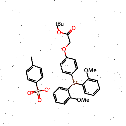 COc1ccccc1[S+](c1ccc(OCC(=O)OC(C)(C)C)cc1)c1ccccc1OC.Cc1ccc(S(=O)(=O)[O-])cc1